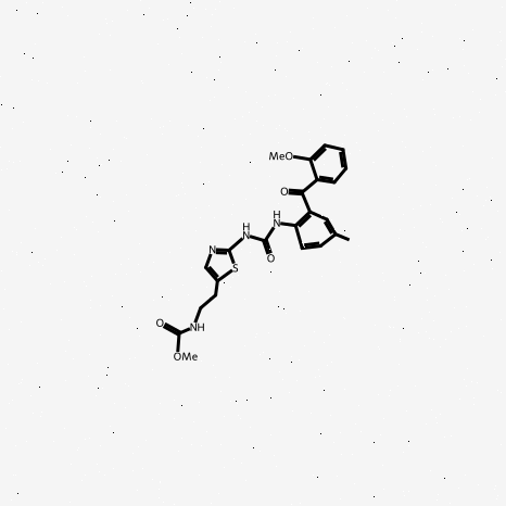 COC(=O)NCCc1cnc(NC(=O)Nc2ccc(C)cc2C(=O)c2ccccc2OC)s1